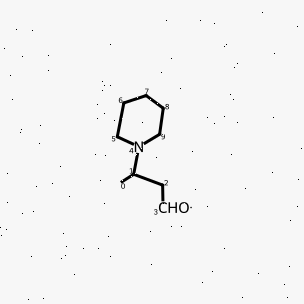 CC(C[C]=O)N1CCCCC1